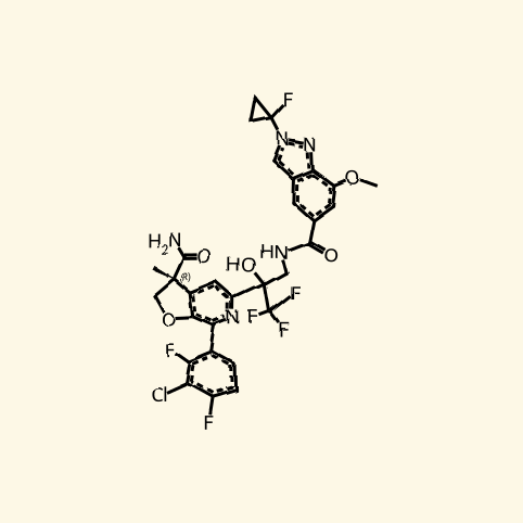 COc1cc(C(=O)NCC(O)(c2cc3c(c(-c4ccc(F)c(Cl)c4F)n2)OC[C@]3(C)C(N)=O)C(F)(F)F)cc2cn(C3(F)CC3)nc12